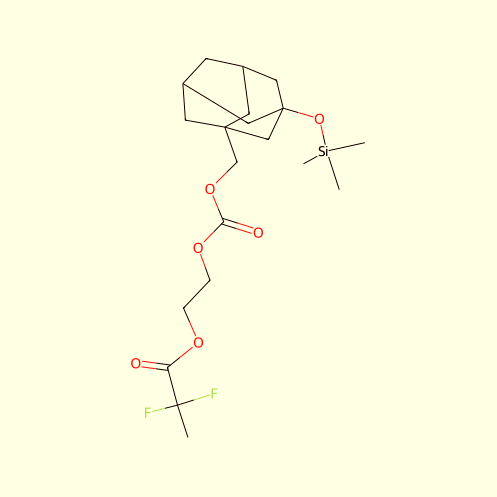 CC(F)(F)C(=O)OCCOC(=O)OCC12CC3CC(C1)CC(O[Si](C)(C)C)(C3)C2